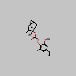 C=Cc1cc(I)c(OCC(=O)OC2(C(C)(C)C)C(C)CC34CC3CC2C4)c(OCC)c1